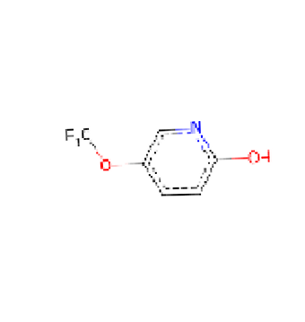 Oc1ccc(OC(F)(F)F)cn1